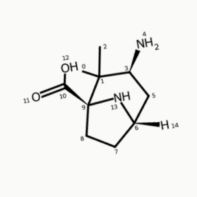 CC1(C)[C@@H](N)C[C@@H]2CC[C@@]1(C(=O)O)N2